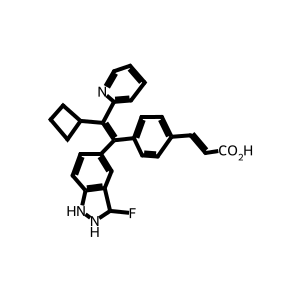 O=C(O)/C=C/c1ccc(/C(=C(\c2ccccn2)C2CCC2)c2ccc3c(c2)C(F)NN3)cc1